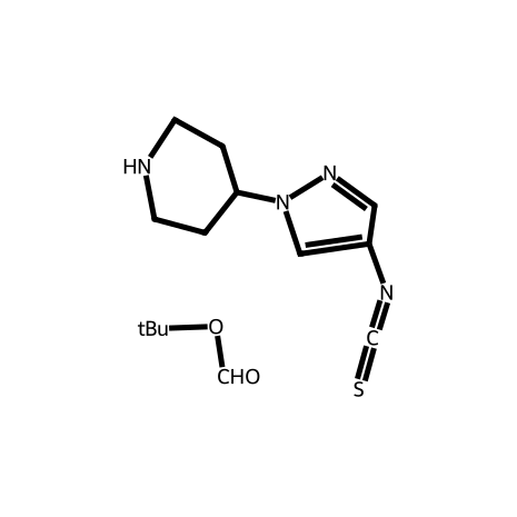 CC(C)(C)OC=O.S=C=Nc1cnn(C2CCNCC2)c1